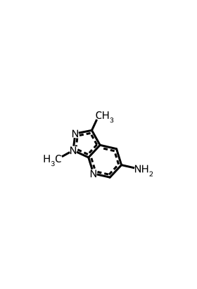 Cc1nn(C)c2ncc(N)cc12